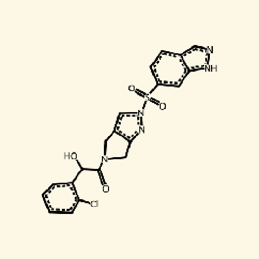 O=C(C(O)c1ccccc1Cl)N1Cc2cn(S(=O)(=O)c3ccc4cn[nH]c4c3)nc2C1